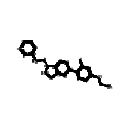 Cc1cc(OCC(F)(F)F)ccc1-c1ccc2c(c1)CN[C@H]2CNc1cccnc1